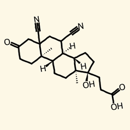 C[C@]12CC[C@H]3[C@@H](C(C#N)CC4(C#N)CC(=O)CC[C@]34C)[C@@H]1CC[C@]2(O)CCC(=O)O